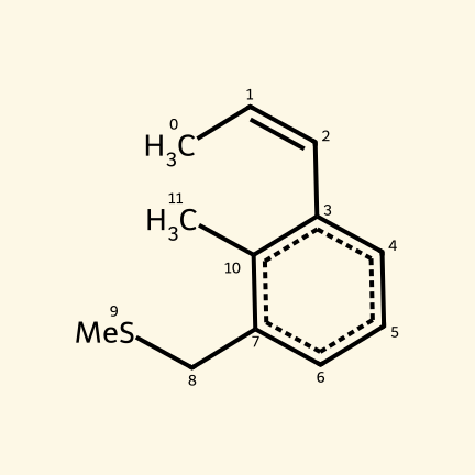 C/C=C\c1cccc(CSC)c1C